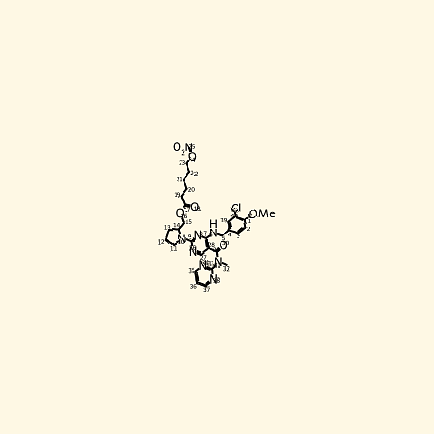 COc1ccc(CNc2nc(N3CCCC3COC(=O)CCCCCO[N+](=O)[O-])ncc2C(=O)N(C)c2ncccn2)cc1Cl